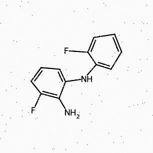 Nc1c(F)cccc1Nc1ccccc1F